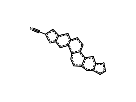 N#Cc1cc2cc3ccc4c5cc6sccc6cc5ccc4c3cc2s1